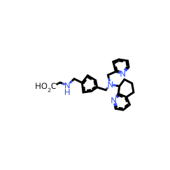 O=C(O)CNCc1ccc(CN(Cc2ccccn2)C2CCCc3cccnc32)cc1